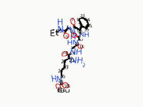 CCNC(=O)CNC(=O)[C@@H](NC(=O)CNC(=O)CNC(=O)C(N)CCCCNC(=O)OC(C)(C)C)c1ccccc1